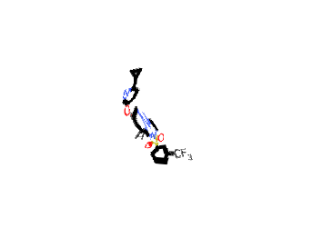 O=S(=O)(c1cccc(C(F)(F)F)c1)N1CCN2C[C@@H](Oc3ccc(C4CC4)nc3)C[C@H]2C1